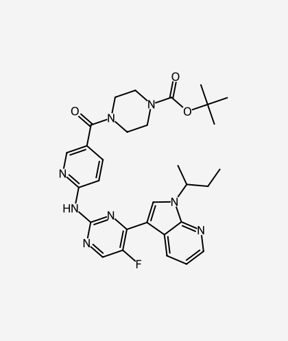 CCC(C)n1cc(-c2nc(Nc3ccc(C(=O)N4CCN(C(=O)OC(C)(C)C)CC4)cn3)ncc2F)c2cccnc21